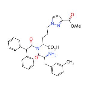 COC(=O)c1ccn(CCCC(C(=O)O)N(C(=O)C(c2ccccc2)c2ccccc2)C(=O)[C@@H](N)Cc2cccc(C)c2)n1